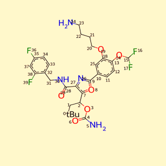 CC(C)(C)CC(OC(N)=O)c1oc(-c2ccc(OC(F)F)c(OCCCCN)c2)nc1C(=O)NCc1ccc(F)cc1F